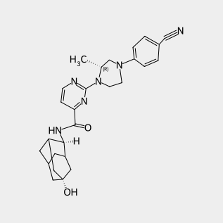 C[C@@H]1CN(c2ccc(C#N)cc2)CCN1c1nccc(C(=O)N[C@H]2C3CC4CC2C[C@](O)(C4)C3)n1